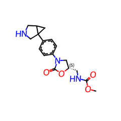 COC(=O)NC[C@H]1CN(c2ccc(C34CNCC3C4)cc2)C(=O)O1